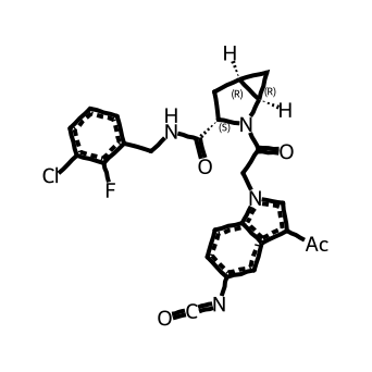 CC(=O)c1cn(CC(=O)N2[C@@H]3C[C@@H]3C[C@H]2C(=O)NCc2cccc(Cl)c2F)c2ccc(N=C=O)cc12